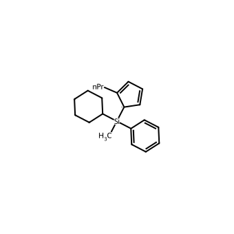 CCCC1=CC=C[C]1[Si](C)(c1ccccc1)C1CCCCC1